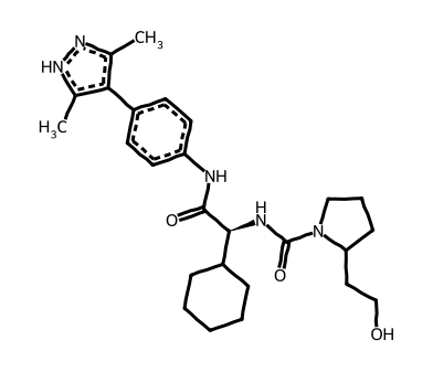 Cc1n[nH]c(C)c1-c1ccc(NC(=O)[C@@H](NC(=O)N2CCCC2CCO)C2CCCCC2)cc1